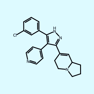 Clc1cccc(-c2[nH]nc(C3=CC4CCCN4CC3)c2-c2ccncc2)c1